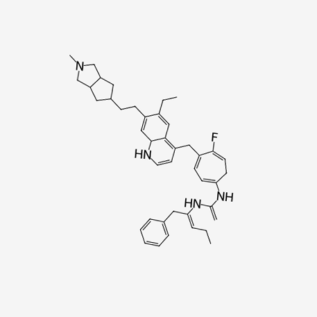 C=C(NC1=CC=C(CC2=C3C=C(CC)C(CCC4CC5CN(C)CC5C4)=CC3NC=C2)C(F)=CC1)N/C(=C\CC)Cc1ccccc1